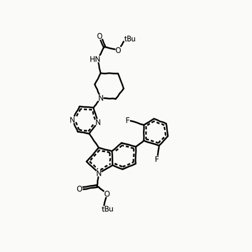 CC(C)(C)OC(=O)NC1CCCN(c2cncc(-c3cn(C(=O)OC(C)(C)C)c4ccc(-c5c(F)cccc5F)cc34)n2)C1